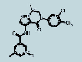 Cc1cc(C(=O)Nc2cnn3c2C(=O)N(c2ccc(C(F)(F)F)c(Cl)c2)C[C@@H]3C)c[n+]([O-])c1